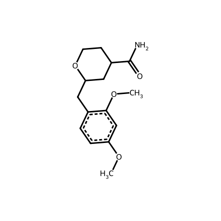 COc1ccc(CC2CC(C(N)=O)CCO2)c(OC)c1